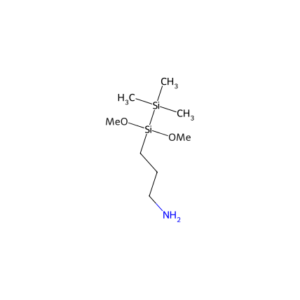 CO[Si](CCCN)(OC)[Si](C)(C)C